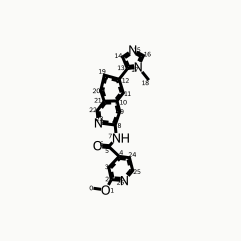 COc1cc(C(=O)Nc2cc3cc(-c4cncn4C)ccc3cn2)ccn1